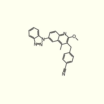 COc1nc2ccc(-n3nnc4ccccc43)cc2c(C)c1Cc1ccc(C#N)cc1